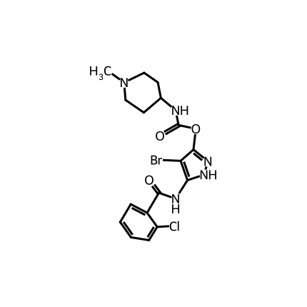 CN1CCC(NC(=O)Oc2n[nH]c(NC(=O)c3ccccc3Cl)c2Br)CC1